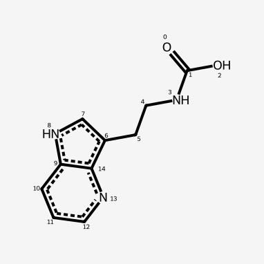 O=C(O)NCCc1c[nH]c2cccnc12